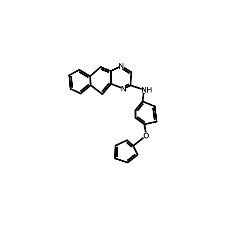 c1ccc(Oc2ccc(Nc3cnc4cc5ccccc5cc4n3)cc2)cc1